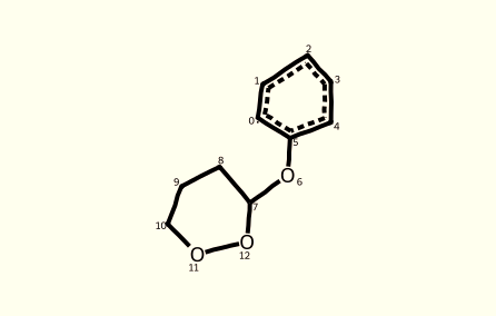 [c]1ccccc1OC1CCCOO1